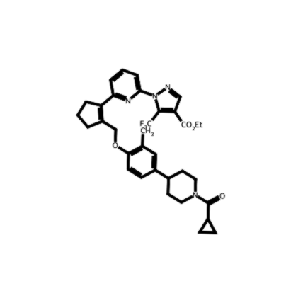 CCOC(=O)c1cnn(-c2cccc(C3=C(COc4ccc(C5CCN(C(=O)C6CC6)CC5)cc4C)CCC3)n2)c1C(F)(F)F